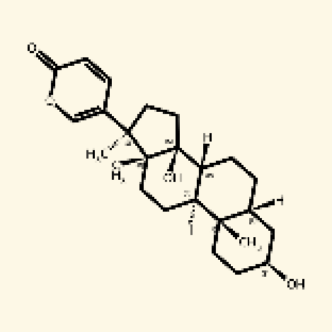 C[C@]12CC[C@H](O)C[C@H]1CC[C@@H]1[C@@H]2CC[C@]2(C)[C@@](C)(c3ccc(=O)oc3)CC[C@]12O